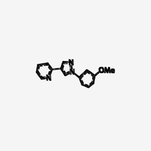 COc1cccc(-n2cc(-c3ccccn3)cn2)c1